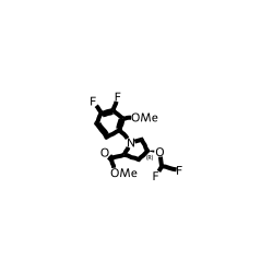 COC(=O)C1C[C@@H](OC(F)F)CN1c1ccc(F)c(F)c1OC